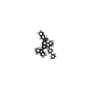 c1ccc(-c2ccc(N(c3cccc(-n4c5ccccc5c5ccccc54)c3)c3ccccc3-c3cccc4c3oc3cc5ccccc5cc34)cc2)cc1